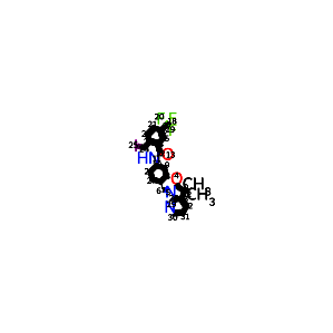 CC1(C)C(=O)N(C[C@H]2CC[C@H](NC(=O)c3cc(C(F)(F)F)ccc3CI)CC2)c2ncccc21